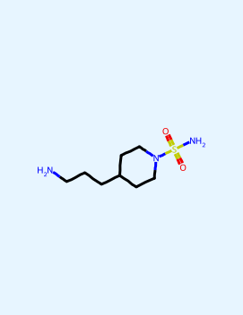 NCCCC1CCN(S(N)(=O)=O)CC1